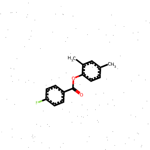 Cc1ccc(OC(=O)c2ccc(F)cc2)c(C)c1